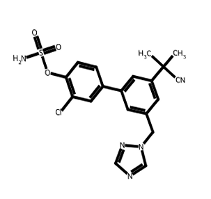 CC(C)(C#N)c1cc(Cn2cncn2)cc(-c2ccc(OS(N)(=O)=O)c(Cl)c2)c1